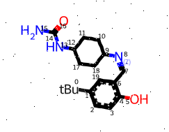 CC(C)(C)c1ccc(O)c(/C=N\C2CCC(NC(N)=O)CC2)c1